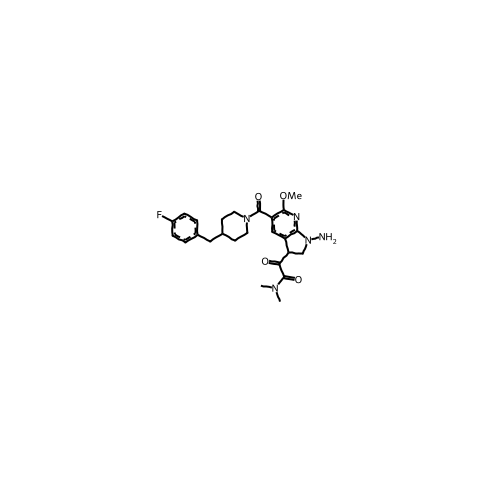 COc1nc2c(cc1C(=O)N1CCC(Cc3ccc(F)cc3)CC1)C(C(=O)C(=O)N(C)C)CN2N